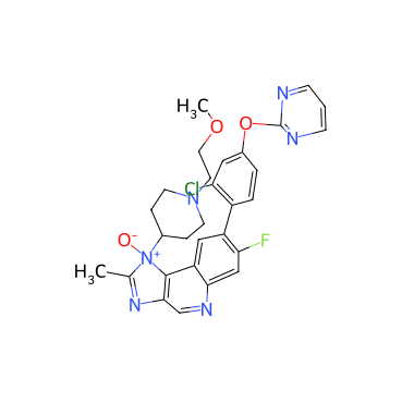 COCCN1CCC([N+]2([O-])C(C)=Nc3cnc4cc(F)c(-c5ccc(Oc6ncccn6)cc5Cl)cc4c32)CC1